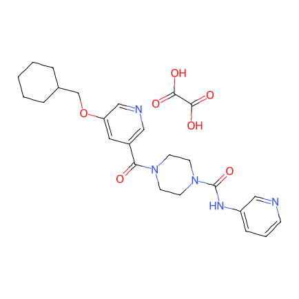 O=C(Nc1cccnc1)N1CCN(C(=O)c2cncc(OCC3CCCCC3)c2)CC1.O=C(O)C(=O)O